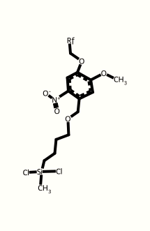 COc1cc(COCCCC[Si](C)(Cl)Cl)c([N+](=O)[O-])cc1O[CH2][Rf]